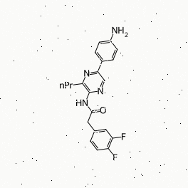 CCCc1nc(-c2ccc(N)cc2)cnc1NC(=O)Cc1ccc(F)c(F)c1